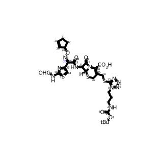 CC(C)(C)OC(=O)NCCCn1nnnc1SCC1=C(C(=O)O)N2C(=O)C(NC(=O)/C(=N\OC3C=CCC3)c3csc(NC=O)n3)[C@H]2SC1